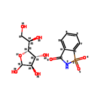 O=C1NS(=O)(=O)c2ccccc21.OC[C@@H](O)[C@H]1OC(O)[C@H](O)[C@H]1O